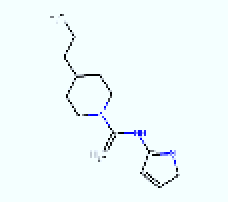 C=C(NC1=NCC=C1)N1CCC(CCC)CC1